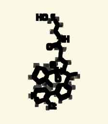 CCc1cnccc1-c1cccc(C(C)N(CCCC(=O)NCCS(=O)(=O)O)S(=O)(=O)c2ccccc2C)c1